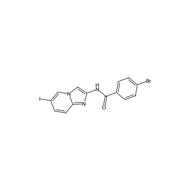 O=C(Nc1cn2cc(I)ccc2n1)c1ccc(Br)cc1